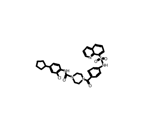 O=C(Nc1ccc(C2CCCC2)cc1Cl)N1CCN(C(=O)c2ccc(NS(=O)(=O)c3cccc4cccnc34)cc2)CC1